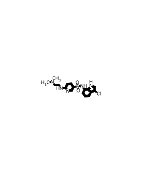 CN(C)CCNc1ccc(S(=O)(=O)Nc2cccc3c(Cl)c[nH]c23)cn1